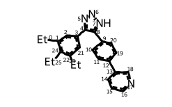 CCc1cc(-c2nn[nH]c2-c2ccc(-c3cccnc3)cc2)cc(CC)c1CC